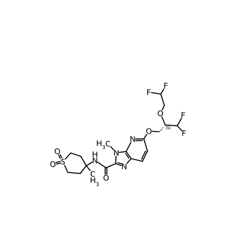 Cn1c(C(=O)NC2(C)CCS(=O)(=O)CC2)nc2ccc(OC[C@H](OCC(F)F)C(F)F)nc21